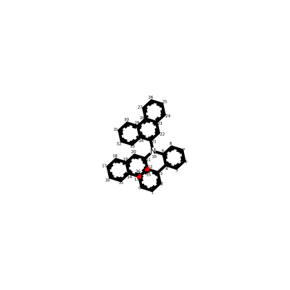 c1ccc(-c2ccccc2N(c2ccc3ccccc3c2)c2cc3ccccc3c3ccccc23)cc1